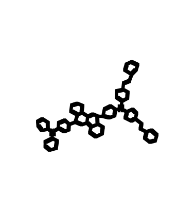 C(=Cc1ccc(N(c2ccc(C=Cc3ccccc3)cc2)c2ccc(-c3cc4c5ccccc5c(-c5ccc(N(c6ccccc6)c6ccccc6)cc5)cc4c4ccccc34)cc2)cc1)c1ccccc1